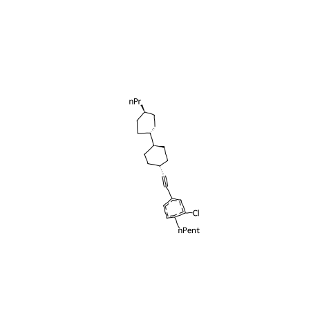 CCCCCc1ccc(C#C[C@H]2CC[C@H]([C@H]3CC[C@H](CCC)CC3)CC2)cc1Cl